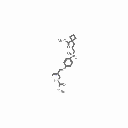 COC(=O)C1(CCCS(=O)(=O)c2ccc(OC/C(=C/F)CNC(=O)OC(C)(C)C)cc2)CCC1